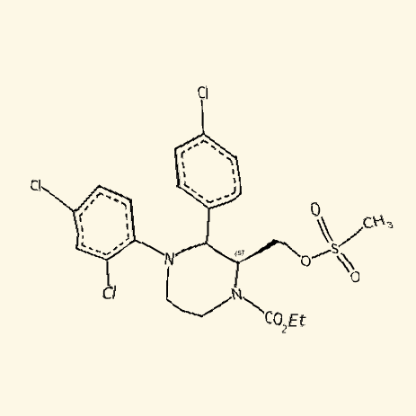 CCOC(=O)N1CCN(c2ccc(Cl)cc2Cl)C(c2ccc(Cl)cc2)[C@H]1COS(C)(=O)=O